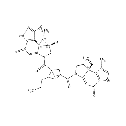 C=C[C@]12CCN(C(=O)C34CC(CCC)C(C(=O)N5C[C@H]6[C@@H](C)[C@@]67C5=CC(=O)c5[nH]cc(C)c57)(C3)C4)C1=CC(=O)c1[nH]cc(C)c12